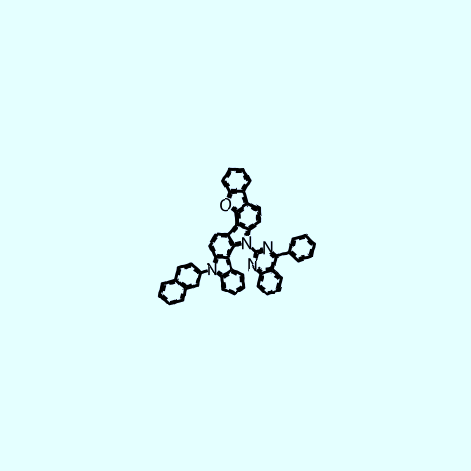 c1ccc(-c2nc(-n3c4ccc5c6ccccc6oc5c4c4ccc5c(c6ccccc6n5-c5ccc6ccccc6c5)c43)nc3ccccc23)cc1